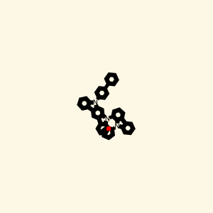 c1ccc(-c2ccc(-n3c4ccccc4c4cc5c6ccccc6n(-c6cccc7c8ccccc8n(-c8ccccc8)c67)c5cc43)cc2)cc1